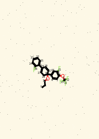 CCCOC1(c2ccc(OC(F)(F)F)c(F)c2)C=CC(c2ccccc2F)=CC1